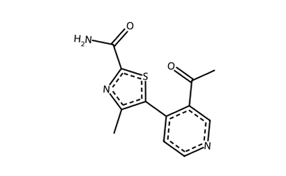 CC(=O)c1cnccc1-c1sc(C(N)=O)nc1C